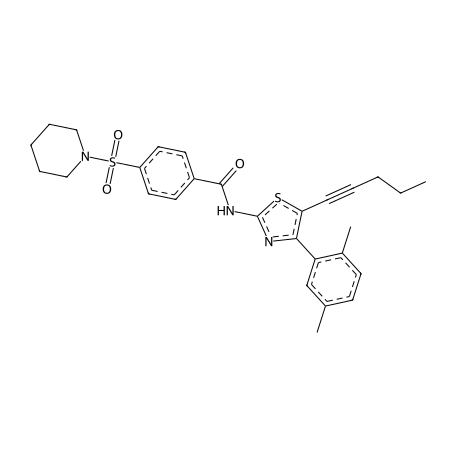 CCCC#Cc1sc(NC(=O)c2ccc(S(=O)(=O)N3CCCCC3)cc2)nc1-c1cc(C)ccc1C